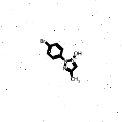 Cc1c[n+](O)n(-c2ccc(Br)cc2)n1